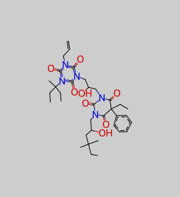 C=CCn1c(=O)n(CC(O)CN2C(=O)N(CC(O)CC(C)(C)CC)C(=O)C(CC)(c3ccccc3)C2=O)c(=O)n(C(C)(CC)CC)c1=O